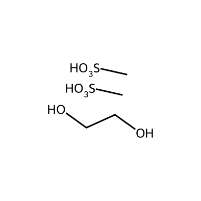 CS(=O)(=O)O.CS(=O)(=O)O.OCCO